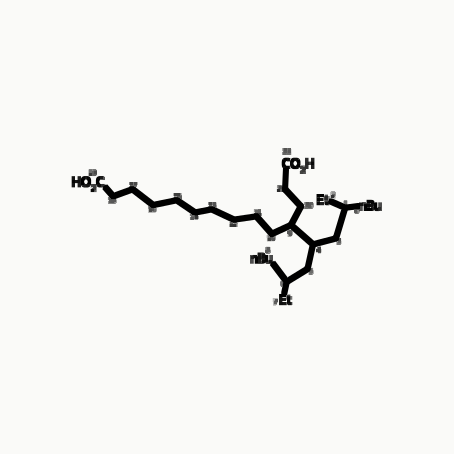 CCCCC(CC)CC(CC(CC)CCCC)C(CCCCCCCCCC(=O)O)CCC(=O)O